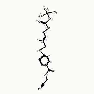 C#CCNC(=O)c1ccc(SC/C(F)=C/CNC(=O)OC(C)(C)C)cc1